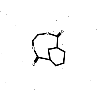 O=C1OCCOC(=O)C2CCCC1C2